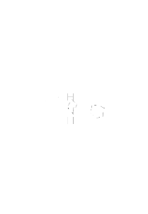 OC1(Cc2ccc(Cc3ccccc3)[nH]2)CCCC1